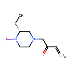 C=CC(=O)CN1CCN(I)[C@H](CC#N)C1